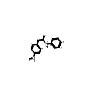 COc1ccc(CC(C)Nc2ccccc2)cc1